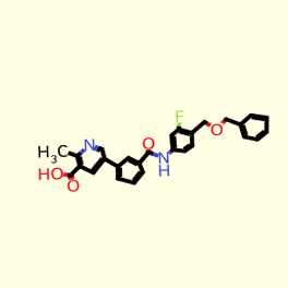 Cc1ncc(-c2cccc(C(=O)Nc3ccc(COCc4ccccc4)c(F)c3)c2)cc1C(=O)O